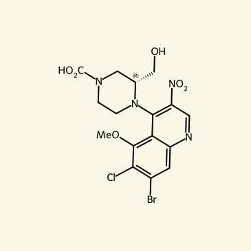 COc1c(Cl)c(Br)cc2ncc([N+](=O)[O-])c(N3CCN(C(=O)O)C[C@@H]3CO)c12